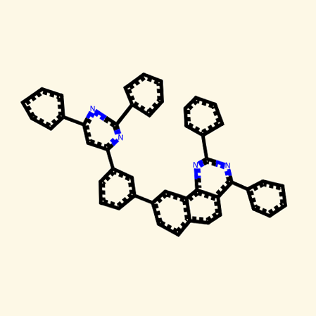 c1ccc(-c2cc(-c3cccc(-c4ccc5ccc6c(-c7ccccc7)nc(-c7ccccc7)nc6c5c4)c3)nc(-c3ccccc3)n2)cc1